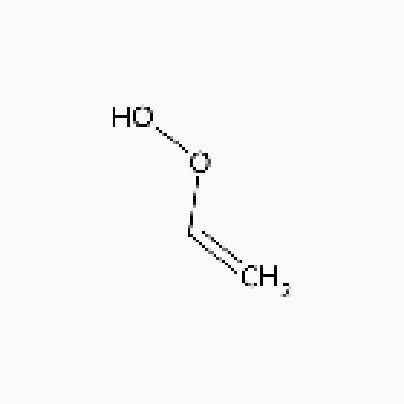 C=COO